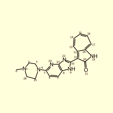 CN1CCN(c2ccc3[nH]c(-c4c5cccccc-5[nH]c4=O)nc3n2)CC1